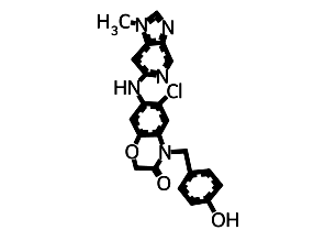 Cn1cnc2cnc(Nc3cc4c(cc3Cl)N(Cc3ccc(O)cc3)C(=O)CO4)cc21